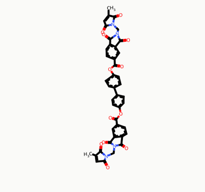 CC1=CC(=O)N(CN2C(=O)c3ccc(C(=O)Oc4ccc(-c5ccc(OC(=O)c6ccc7c(c6)C(=O)N(CN6C(=O)C=C(C)C6=O)C7=O)cc5)cc4)cc3C2=O)C1=O